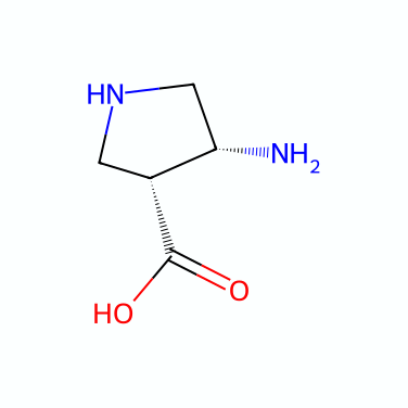 N[C@H]1CNC[C@H]1C(=O)O